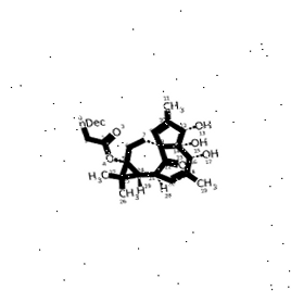 CCCCCCCCCCCC(=O)O[C@@]12CC[C@]34C=C(C)[C@H](O)[C@@]3(O)[C@H](O)C(C)=C[C@H](C4=O)[C@@H]1C2(C)C